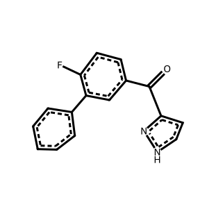 O=C(c1ccc(F)c(-c2ccccc2)c1)c1cc[nH]n1